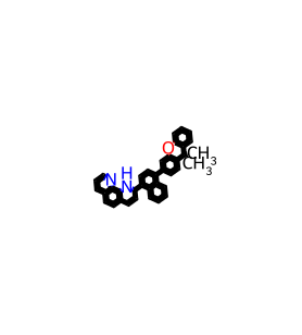 CC1(C)c2ccccc2Oc2cc(-c3ccc(C4C=Cc5ccc6cccnc6c5N4)c4ccccc34)ccc21